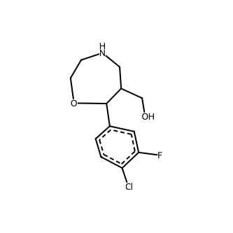 OCC1CNCCOC1c1ccc(Cl)c(F)c1